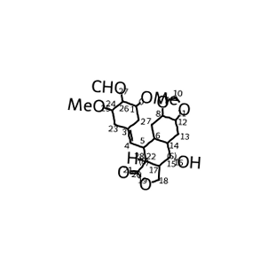 COC1CC(=CC2C3CC4OCOC4CC3[C@H](O)C3COC(=O)[C@H]23)CC(OC)C1C=O